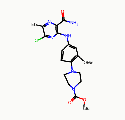 CCc1nc(C(N)=O)c(Nc2ccc(N3CCN(C(=O)OC(C)(C)C)CC3)c(OC)c2)nc1Cl